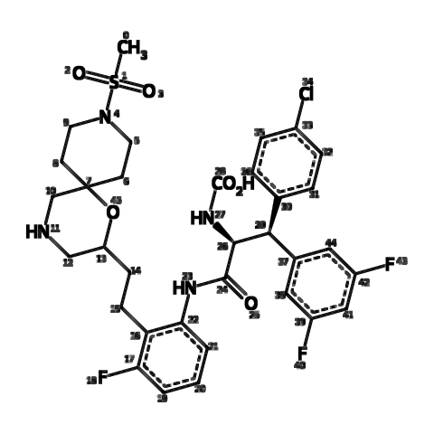 CS(=O)(=O)N1CCC2(CC1)CNCC(CCc1c(F)cccc1NC(=O)[C@@H](NC(=O)O)[C@@H](c1ccc(Cl)cc1)c1cc(F)cc(F)c1)O2